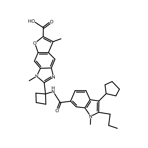 CCCc1c(C2CCCC2)c2ccc(C(=O)NC3(c4nc5cc6c(C)c(C(=O)O)oc6cc5n4C)CCC3)cc2n1C